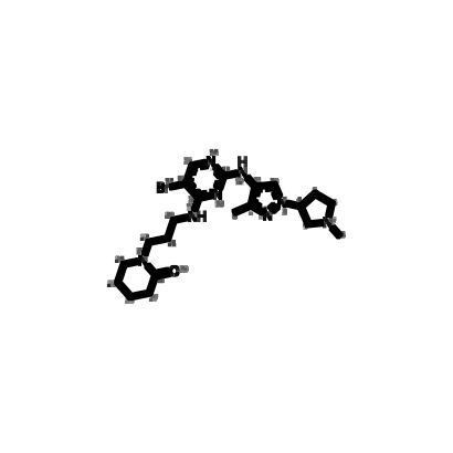 Cc1nn(C2CCN(C)C2)cc1Nc1ncc(Br)c(NCCCN2CCCCC2=O)n1